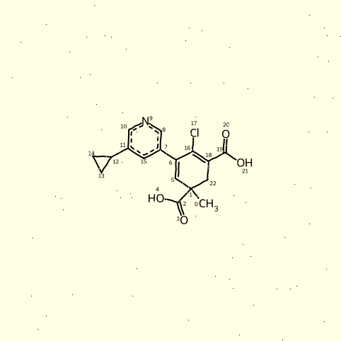 CC1(C(=O)O)C=C(c2cncc(C3CC3)c2)C(Cl)=C(C(=O)O)C1